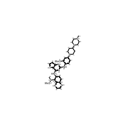 COc1cc(N2CCC(N3CCN(C)CC3)CC2)ccc1Nc1nc(Nc2ccc3nccnc3c2N(C)SC)c2sccc2n1